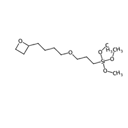 CO[Si](CCCOCCCCC1CCO1)(OC)OC